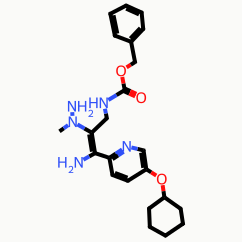 CN(N)/C(CNC(=O)OCc1ccccc1)=C(\N)c1ccc(OC2CCCCC2)cn1